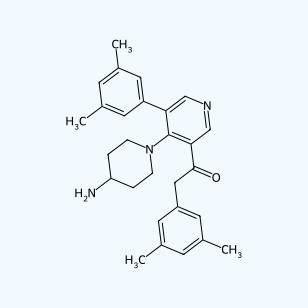 Cc1cc(C)cc(CC(=O)c2cncc(-c3cc(C)cc(C)c3)c2N2CCC(N)CC2)c1